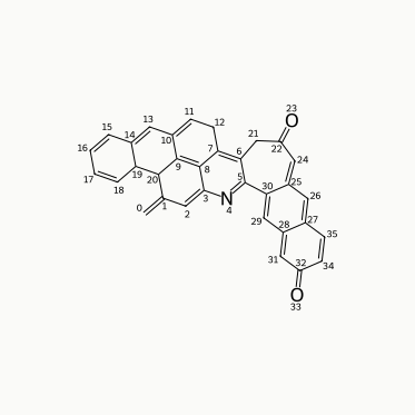 C=C1C=c2nc3c(c4c2=C2C(=CC4)C=C4C=CC=CC4C12)CC(=O)C=c1cc2c(cc1-3)=CC(=O)C=C2